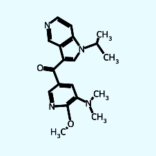 COc1ncc(C(=O)c2cn(C(C)C)c3ccncc23)cc1N(C)C